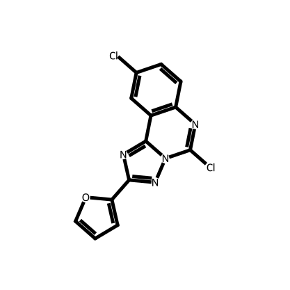 Clc1ccc2nc(Cl)n3nc(-c4ccco4)nc3c2c1